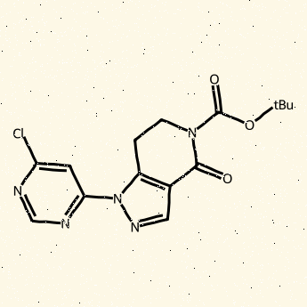 CC(C)(C)OC(=O)N1CCc2c(cnn2-c2cc(Cl)ncn2)C1=O